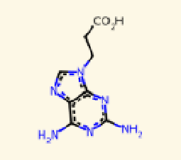 Nc1nc(N)c2ncn(CCC(=O)O)c2n1